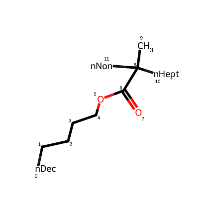 CCCCCCCCCCCCCCOC(=O)C(C)(CCCCCCC)CCCCCCCCC